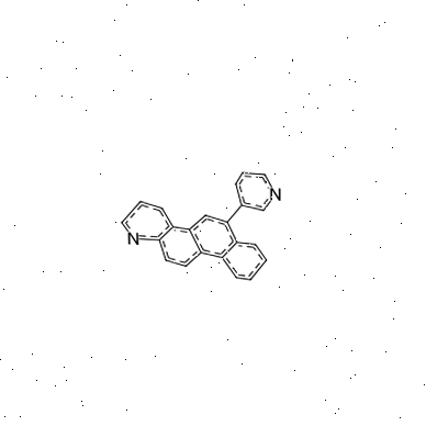 c1cncc(-c2cc3c4cccnc4ccc3c3ccccc23)c1